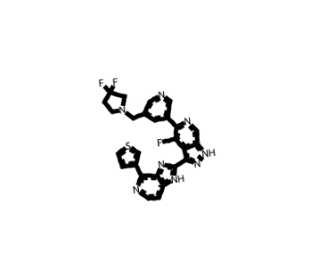 Fc1c(-c2cncc(CN3CCC(F)(F)C3)c2)ncc2[nH]nc(-c3nc4c(-c5ccsc5)nccc4[nH]3)c12